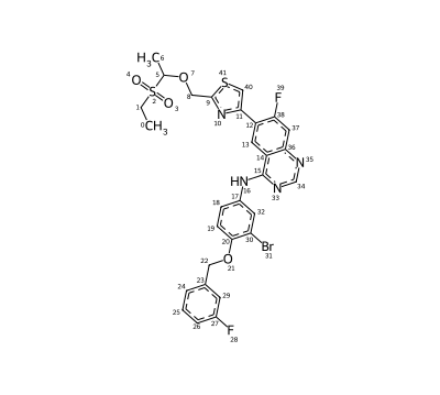 CCS(=O)(=O)C(C)OCc1nc(-c2cc3c(Nc4ccc(OCc5cccc(F)c5)c(Br)c4)ncnc3cc2F)cs1